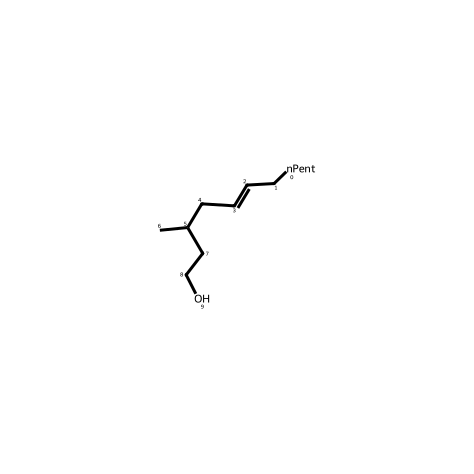 CCCCCCC=CCC(C)CCO